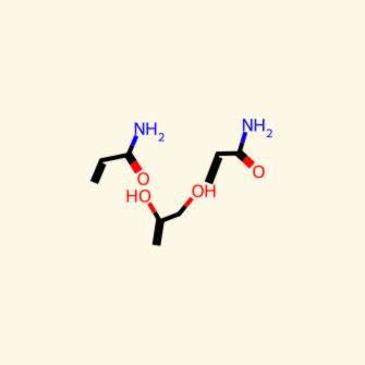 C=C(O)CO.C=CC(N)=O.C=CC(N)=O